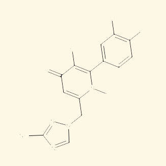 CCOC(=O)c1c(-c2ccc(Cl)c(Cl)c2)n(CC)c(Cn2cnc(C#N)n2)cc1=O